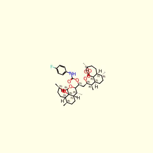 C[C@H]1[C@@H](C[C@H](OC(=O)Nc2ccc(F)cc2)C2O[C@@H]3O[C@]4(C)CC[C@H]5[C@H](C)CC[C@@H]([C@H]2C)[C@@]35OO4)O[C@@H]2O[C@]3(C)CC[C@H]4[C@H](C)CC[C@@H]1[C@@]24OO3